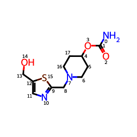 NC(=O)OC1CCN(Cc2ncc(CO)s2)CC1